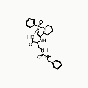 O=C(NCc1ccccc1)NCC(NC(=O)C1CCCCN1S(=O)(=O)c1ccccc1)C(=O)O